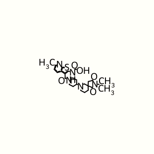 Cc1ccc2c(C(=O)N3CCC(N4CCCC5(CC(=O)N(C(C)C)C5=O)C4)CC3)c(NC(=O)O)sc2n1